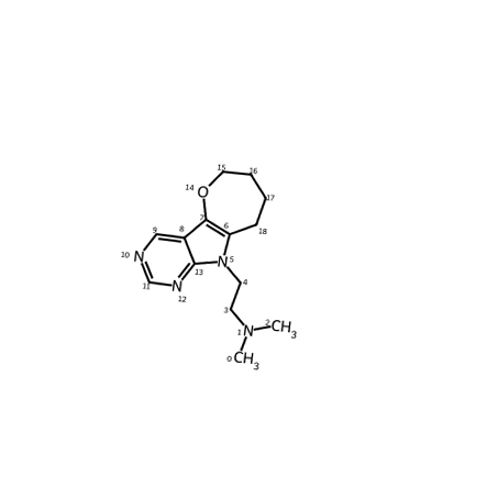 CN(C)CCn1c2c(c3cncnc31)OCCCC2